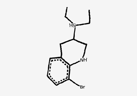 CC[SiH](CC)C1CNc2c(Br)cccc2C1